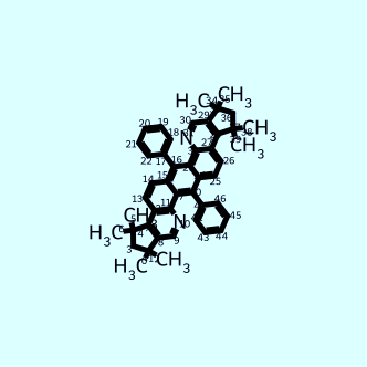 CC1(C)CC(C)(C)c2c1cnc1c2ccc2c(-c3ccccc3)c3c(ccc4c5c(cnc43)C(C)(C)CC5(C)C)c(-c3ccccc3)c21